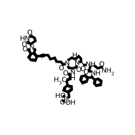 C/C(=C\C(=O)N[C@H]1CN(C(=O)CCCCCC#Cc2cccc3c2CN(C2CCC(=O)NC2=O)C3=O)CC[C@H]2CC[C@@H](C(=O)N[C@@H](CCC(N)=O)C(=O)NC(c3ccccc3)c3ccccc3)N2C1=O)c1ccc(CP(=O)(O)O)cc1